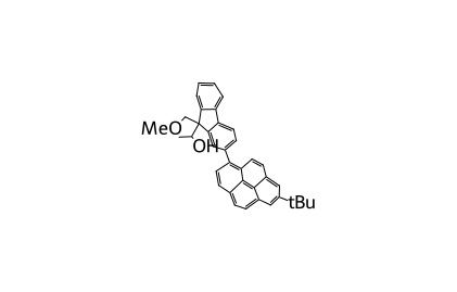 COCC1(C(C)O)c2ccccc2-c2ccc(-c3ccc4ccc5cc(C(C)(C)C)cc6ccc3c4c56)cc21